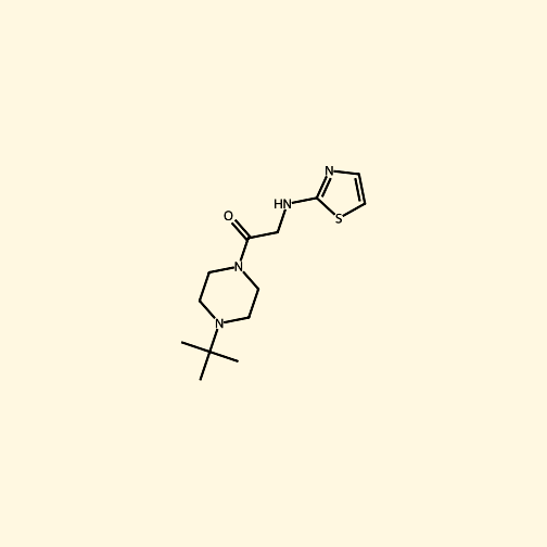 CC(C)(C)N1CCN(C(=O)CNc2nccs2)CC1